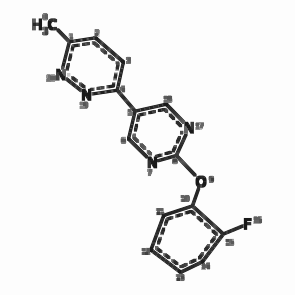 Cc1ccc(-c2cnc(Oc3ccccc3F)nc2)nn1